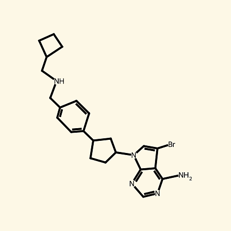 Nc1ncnc2c1c(Br)cn2C1CCC(c2ccc(CNCC3CCC3)cc2)C1